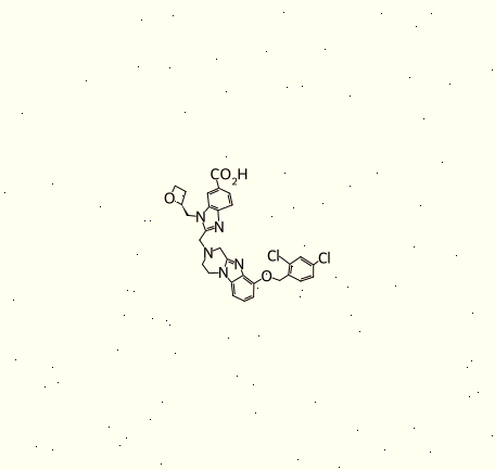 O=C(O)c1ccc2nc(CN3CCn4c(nc5c(OCc6ccc(Cl)cc6Cl)cccc54)C3)n(C[C@@H]3CCO3)c2c1